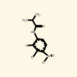 CC(C)C(=O)Nc1ccc([N+](=O)[O-])c(Cl)c1Cl